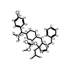 COC(=O)OC1(CC(C)C)N=CN(Cc2ccccc2)C1CC1CCC(C(c2ccc(Cl)cc2)N(C)C)CC1